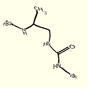 CCCCNC(=O)NCC(C)NCCCC